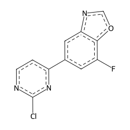 Fc1cc(-c2ccnc(Cl)n2)cc2ncoc12